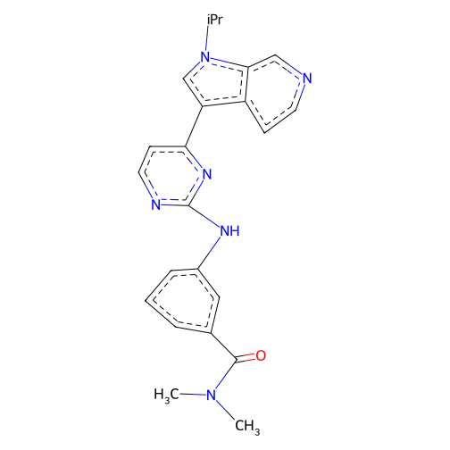 CC(C)n1cc(-c2ccnc(Nc3cccc(C(=O)N(C)C)c3)n2)c2ccncc21